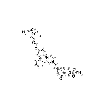 CS(C)(C)CCOCOc1ccc(N2CCN(CCC3CC4(CCN(S(C)(=O)=O)CC4)C(=O)O3)CC2)c(N2CCOCC2)c1